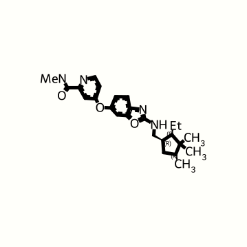 CC[C@H]1[C@H](CNc2nc3ccc(Oc4ccnc(C(=O)NC)c4)cc3o2)C[C@@H](C)C1(C)C